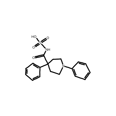 O=C(NS(=O)(=O)O)C1(c2ccccc2)CCN(c2ccccc2)CC1